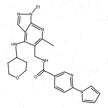 CCn1ncc2c(NC3CCOCC3)c(CNC(=O)c3ccc(-n4cccc4)nc3)c(C)nc21